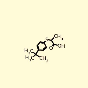 CC(Sc1ccc(C(C)(C)C)cc1)C(=O)O